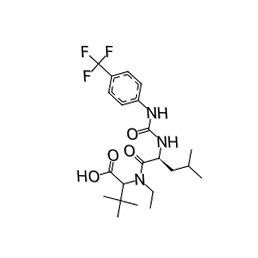 CCN(C(=O)[C@H](CC(C)C)NC(=O)Nc1ccc(C(F)(F)F)cc1)C(C(=O)O)C(C)(C)C